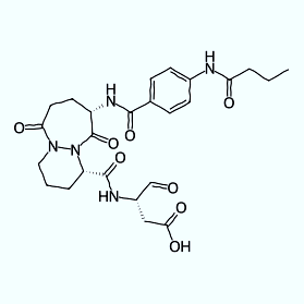 CCCC(=O)Nc1ccc(C(=O)N[C@H]2CCC(=O)N3CCC[C@@H](C(=O)N[C@H](C=O)CC(=O)O)N3C2=O)cc1